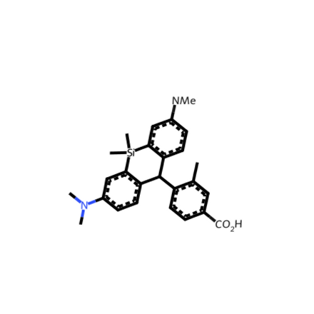 CNc1ccc2c(c1)[Si](C)(C)c1cc(N(C)C)ccc1C2c1ccc(C(=O)O)cc1C